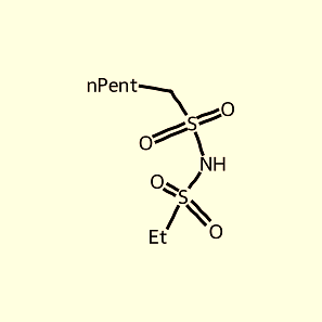 CCCCCCS(=O)(=O)NS(=O)(=O)CC